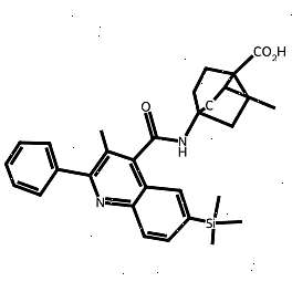 Cc1c(-c2ccccc2)nc2ccc([Si](C)(C)C)cc2c1C(=O)NC12CCC(C(=O)O)(CC1)C(C)C2